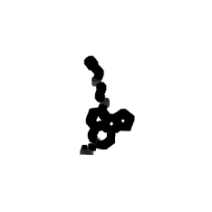 C#CCOCCOc1ccc2c3c1C1CCCC1N3CCN(C(C)=O)C2